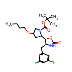 CCCCO[C@@H]1C[C@H]([C@H]2OC(=O)N[C@H]2Cc2cc(F)cc(F)c2)N(C(=O)OC(C)(C)C)C1